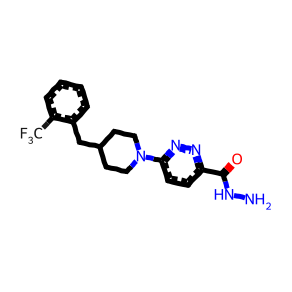 NNC(=O)c1ccc(N2CCC(Cc3ccccc3C(F)(F)F)CC2)nn1